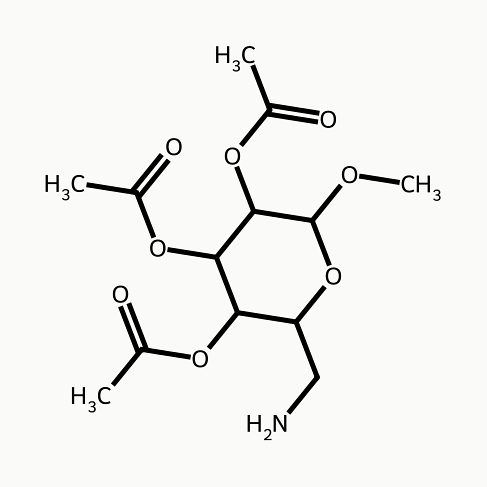 COC1OC(CN)C(OC(C)=O)C(OC(C)=O)C1OC(C)=O